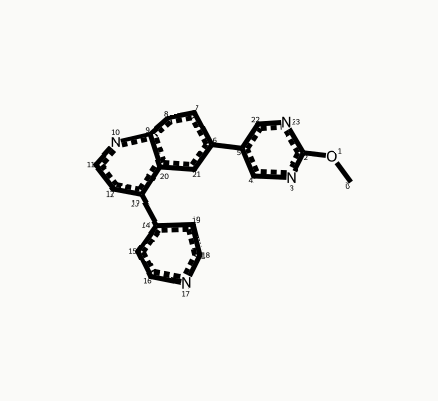 COc1ncc(-c2ccc3nccc(-c4ccncc4)c3c2)cn1